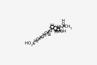 C[C@H](O)CC[C@@H]1[C@H]2Cc3cccc(OCC(=O)OCCOCCOCCC(=O)O)c3C[C@H]2C[C@H]1O